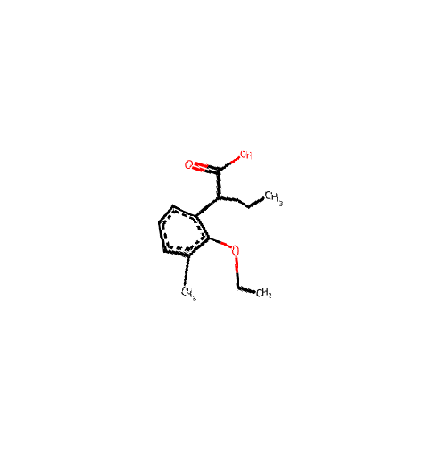 CCOc1c(C)cccc1C(CC)C(=O)O